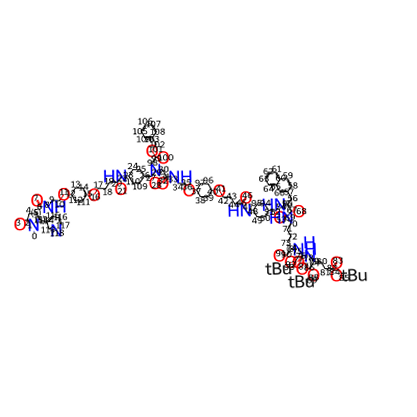 CN1C(=O)C[C@H](C(=O)NCCOC2CCC(OCCCC(=O)NC3CCC(C(=O)N(CC(=O)NCCOC4CCC(OCCCC(=O)NC5CCC(C(=O)N[C@@H](Cc6ccc7ccccc7c6)C(=O)NCCCC[C@H](NC(=O)N[C@@H](CCC(=O)OC(C)(C)C)C(=O)OC(C)(C)C)C(=O)OC(C)(C)C)CC5)CC4)CC(=O)OCc4ccccc4)CC3)CC2)[C@H]1c1cccnc1